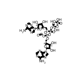 Nc1ncnc2c1ncn2[C@@H]1O[C@H](COP(=O)(OP=O)OP(=O)(OC[C@H]2O[C@@H](n3cnc4c(N)ncnc43)[C@H](O)[C@@H]2O)OP(=O)(O)OP(=O)(O)O)[C@@H](O)[C@H]1O